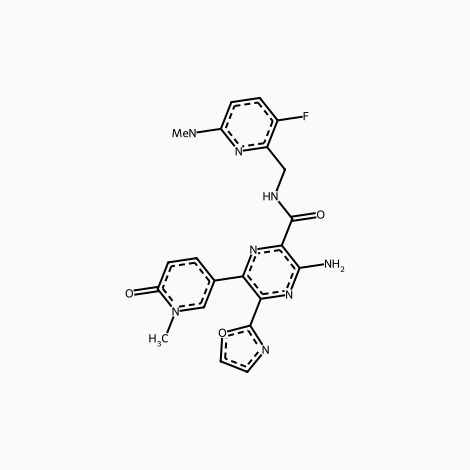 CNc1ccc(F)c(CNC(=O)c2nc(-c3ccc(=O)n(C)c3)c(-c3ncco3)nc2N)n1